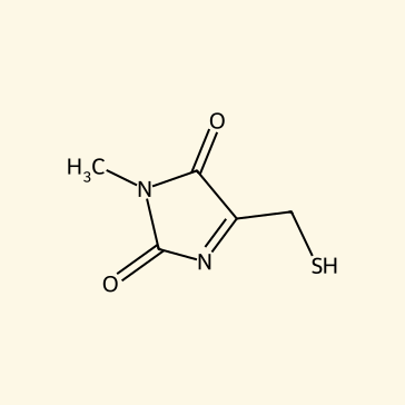 CN1C(=O)N=C(CS)C1=O